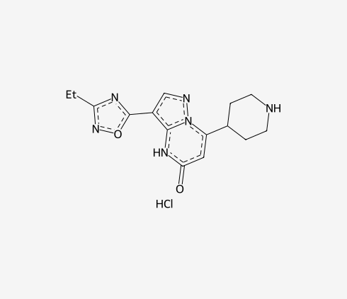 CCc1noc(-c2cnn3c(C4CCNCC4)cc(=O)[nH]c23)n1.Cl